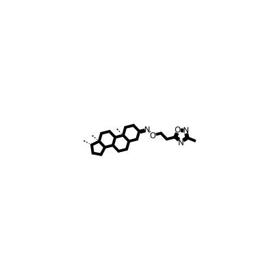 Cc1noc(CCON=C2CC[C@@]3(C)C(CCC4C3CC[C@@]3(C)C4CC[C@@H]3C)C2)n1